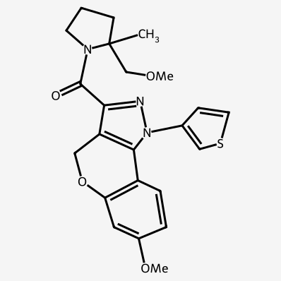 COCC1(C)CCCN1C(=O)c1nn(-c2ccsc2)c2c1COc1cc(OC)ccc1-2